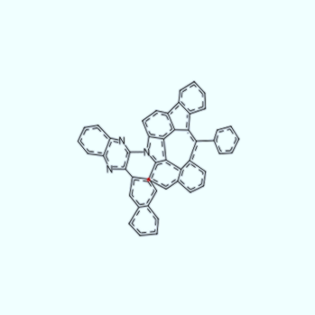 c1ccc(-c2c3c4ccccc4c4ccc5c(c4-3)c3c4c(cccc24)ccc3n5-c2nc3ccccc3nc2-c2ccc3ccccc3c2)cc1